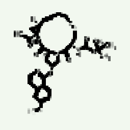 COc1ccc2c(O[C@@H]3C[C@H]4C(=O)N[C@]5(C(=O)O)C[C@H]5/C=C\CCCOC[C@H](NC(=O)OC(C)(C)C)C(=O)N4C3)nccc2c1